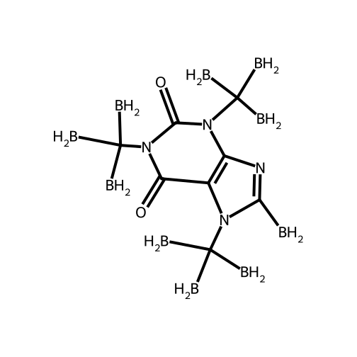 Bc1nc2c(c(=O)n(C(B)(B)B)c(=O)n2C(B)(B)B)n1C(B)(B)B